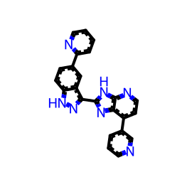 c1ccc(-c2ccc3[nH]nc(-c4nc5c(-c6cccnc6)ccnc5[nH]4)c3c2)nc1